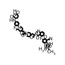 CCN(C)S(=O)(=O)Nc1ccc(F)c(Oc2ccc3ncn(C4COC5(CCN(C(=O)CC6(O)CCN(c7ccc(NC8CCC(=O)NC8=O)cc7F)C(I)C6)CC5)C4)c(=O)c3c2)c1C#N